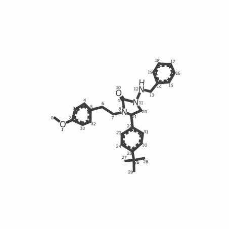 COc1ccc(CCN2C(=O)N(NCc3ccccc3)CC2c2ccc(C(C)(C)C)cc2)cc1